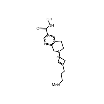 CNCCCC1=C[C@@H](N2CCc3cc(C(=O)NO)cnc3C2)C1